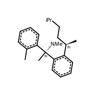 CN[C@](C)(c1ccccc1C)c1ccccc1[C@H](C)CCC(C)C